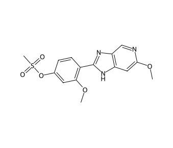 COc1cc2[nH]c(-c3ccc(OS(C)(=O)=O)cc3OC)nc2cn1